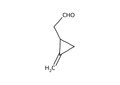 C=C1CC1CC=O